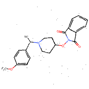 N#CC(c1ccc(OC(F)(F)F)cc1)N1CCC(ON2C(=O)c3ccccc3C2=O)CC1